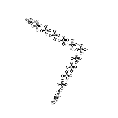 O=P([O-])([O-])[O-].O=P([O-])([O-])[O-].O=P([O-])([O-])[O-].O=P([O-])([O-])[O-].O=P([O-])([O-])[O-].O=P([O-])([O-])[O-].O=P([O-])([O-])[O-].O=P([O-])([O-])[O-].O=P([O-])([O-])[O-].O=P([O-])([O-])[O-].[Fe+3].[Fe+3].[Fe+3].[Pb+2].[Pb+2].[Pb+2].[V+5].[V+5].[V+5]